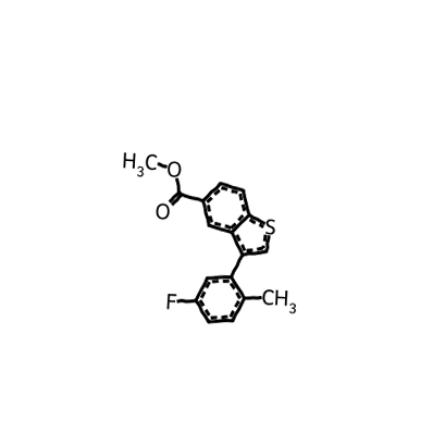 COC(=O)c1ccc2scc(-c3cc(F)ccc3C)c2c1